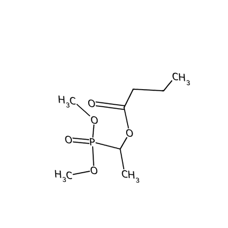 CCCC(=O)OC(C)P(=O)(OC)OC